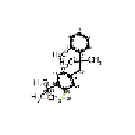 Cc1ccccc1C(C)(C)Cc1ccc(C(C)(C)C)c(F)c1